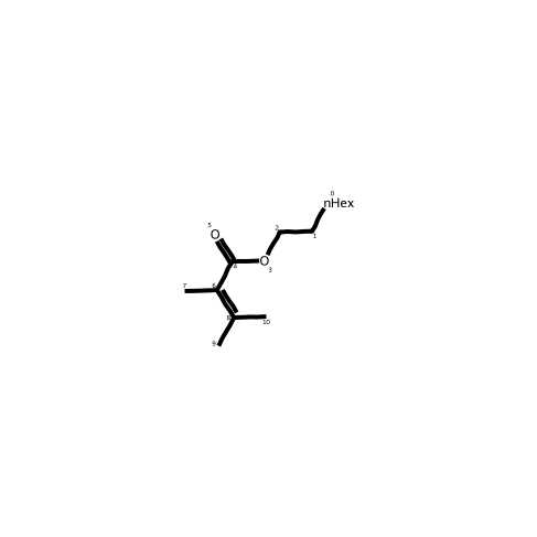 CCCCCCCCOC(=O)C(C)=C(C)C